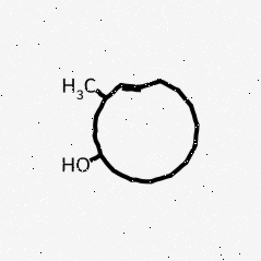 CC1/C=C/CCCCCCCCCCC(O)CC1